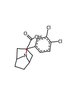 O=C(O)C1CC2CCC(C1)N2Cc1ccc(Cl)c(Cl)c1